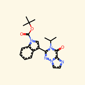 CC(C)n1c(-c2cn(C(=O)OC(C)(C)C)c3ccccc23)nn2ccnc2c1=O